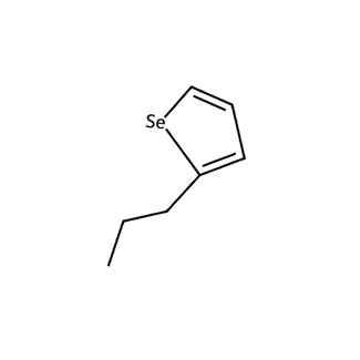 CCCc1ccc[se]1